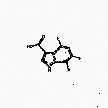 O=C(O)c1c[nH]c2c(F)c(F)cc(F)c12